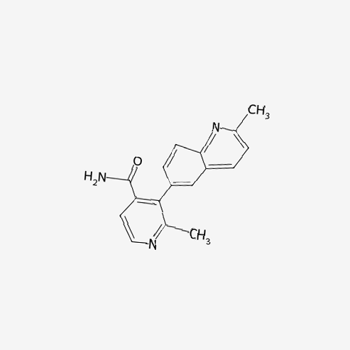 Cc1ccc2cc(-c3c(C(N)=O)ccnc3C)ccc2n1